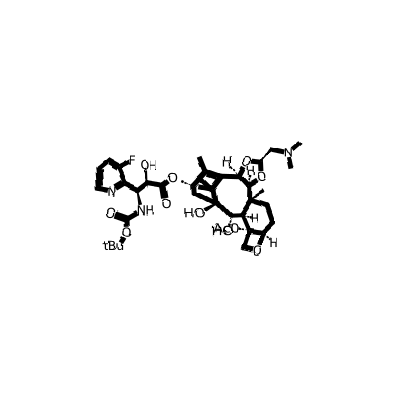 CC(=O)O[C@@]12CO[C@@H]1CC[C@@]1(C)[C@@H]3O[C@H](CN(C)C)O[C@@H]3C3=C(C)[C@@H](OC(=O)[C@H](O)[C@@H](NC(=O)OC(C)(C)C)c4ncccc4F)C[C@@](O)([C@@H](O)[C@@H]12)C3(C)C